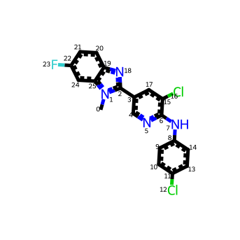 Cn1c(-c2cnc(Nc3ccc(Cl)cc3)c(Cl)c2)nc2ccc(F)cc21